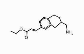 CCOC(=O)C=Cc1ccc2c(c1)CC(CN)CC2